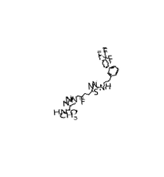 CNC(=O)c1cn(C[C@H](F)CCc2nnc(NCCc3cccc(OC(F)(F)F)c3)s2)nn1